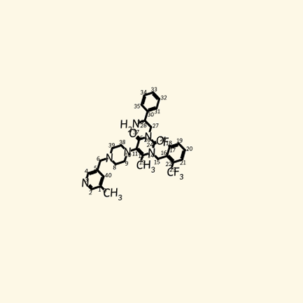 Cc1cncc(CN2CCN(c3c(C)n(Cc4c(F)cccc4C(F)(F)F)c(=O)n(CC(N)c4ccccc4)c3=O)CC2)c1